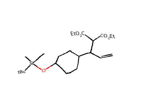 C=CC(C1CCC(O[Si](C)(C)C(C)(C)C)CC1)C(C(=O)OCC)C(=O)OCC